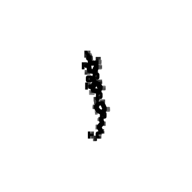 CCCCCO[C@H]1CC[C@H](COc2ccc(C(=O)Oc3cc(F)c(C#N)c(F)c3)c(F)c2)CC1